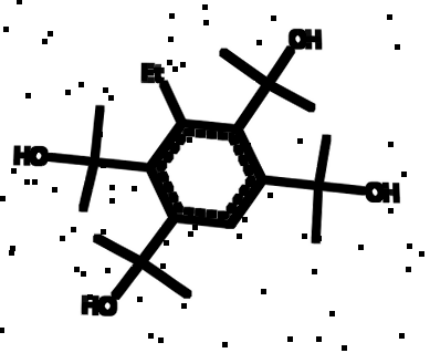 CCc1c(C(C)(C)O)c(C(C)(C)O)cc(C(C)(C)O)c1C(C)(C)O